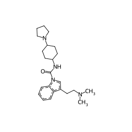 CN(C)CCc1cn(C(=O)NC2CCC(N3CCCC3)CC2)c2ccccc12